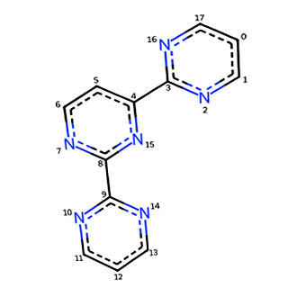 c1cnc(-c2ccnc(-c3ncccn3)n2)nc1